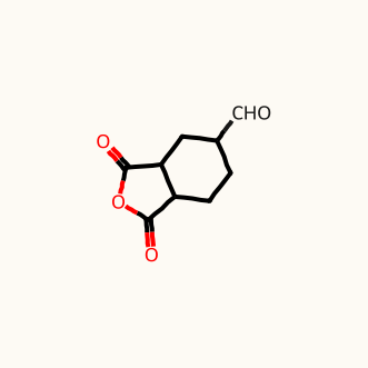 O=CC1CCC2C(=O)OC(=O)C2C1